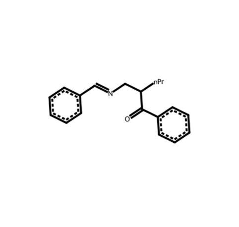 CCCC(CN=Cc1ccccc1)C(=O)c1ccccc1